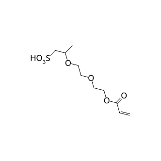 C=CC(=O)OCCOCCOC(C)CS(=O)(=O)O